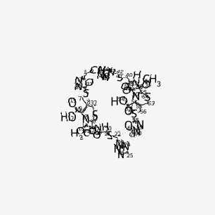 CCc1nnc(SCC2=C(C(=O)O)N3C(=O)[C@](NC(=O)CSCn4ncnn4)(OC)C3SC2)o1.CO[C@@]1(NC(=O)CSCn2cnnn2)C(=O)N2C(C(=O)O)=C(CSc3nnco3)CSC21